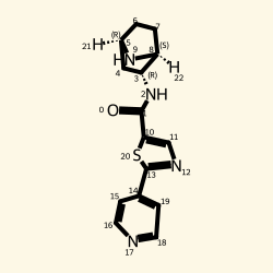 O=C(N[C@@H]1C[C@H]2CC[C@@H]1N2)c1cnc(-c2ccncc2)s1